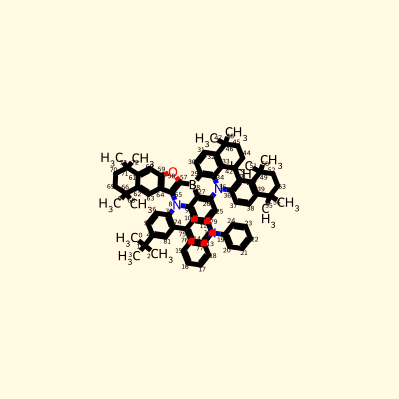 CC(C)(C)c1ccc(N2c3cc(N(c4ccccc4)c4ccccc4)cc4c3B(c3ccc5c6c3N4c3ccc4c(c3C6(C)CCC5(C)C)C(C)(C)CCC4(C)C)c3oc4cc5c(cc4c32)C(C)(C)CCC5(C)C)c(-c2ccccc2)c1